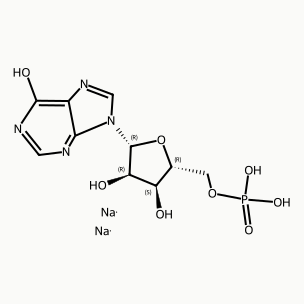 O=P(O)(O)OC[C@H]1O[C@@H](n2cnc3c(O)ncnc32)[C@H](O)[C@@H]1O.[Na].[Na]